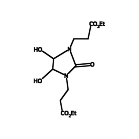 CCOC(=O)CCN1C(=O)N(CCC(=O)OCC)C(O)C1O